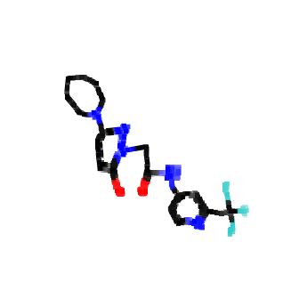 O=C(Cn1nc(N2CCCCCC2)ccc1=O)Nc1ccnc(C(F)(F)F)c1